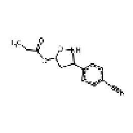 CCC(=O)OC1CC(c2ccc(C#N)cc2)NO1